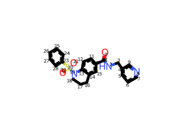 O=C(NCc1cccnc1)c1ccc2c(c1)CCCN2S(=O)(=O)c1ccccc1